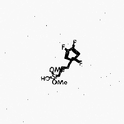 CO[Si](O)(CCCc1cc(F)c(F)cc1F)OC